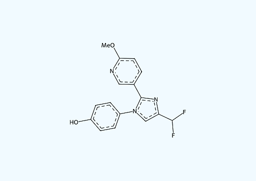 COc1ccc(-c2nc(C(F)F)cn2-c2ccc(O)cc2)cn1